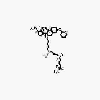 CC(=O)O[C@H]1CC[C@H]2[C@@H]3[C@H](CCCCCN(C)CCCS(=O)(=O)CCCC(F)(F)C(F)(F)F)Cc4cc(OC5CCCCO5)ccc4[C@H]3CC[C@]12C